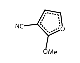 COc1oc[c]c1C#N